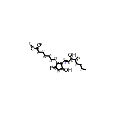 CCCCC(C)[C@H](O)/C=C/[C@@H]1[C@@H](CCCCCCC(=O)OC)[C@H](F)C[C@H]1O